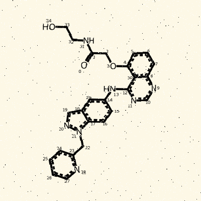 O=C(COc1cccc2ncnc(Nc3ccc4c(cnn4Cc4ccccn4)c3)c12)NCCO